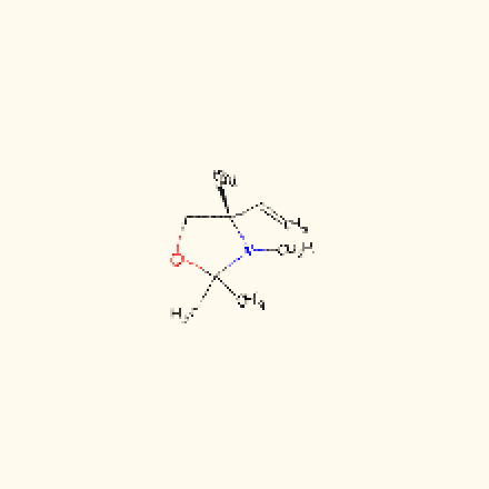 C=C[C@@]1(C(C)(C)C)COC(C)(C)N1C(=O)O